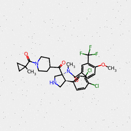 COc1ccc(C(=O)N(C)[C@@]2(C(=O)C3CCN(C(=O)C4(C)CC4)CC3)CNC[C@@H]2c2ccc(Cl)c(Cl)c2)cc1C(F)(F)F